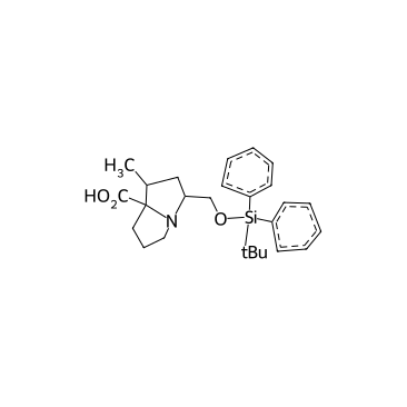 CC1CC(CO[Si](c2ccccc2)(c2ccccc2)C(C)(C)C)N2CCCC12C(=O)O